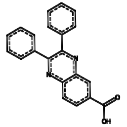 O=C(O)c1ccc2nc(-c3ccccc3)c(-c3ccccc3)nc2c1